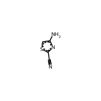 N#Cc1nc(N)cs1